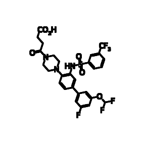 O=C(O)CCC(=O)N1CCN(c2ccc(-c3cc(F)cc(OC(F)F)c3)cc2NS(=O)(=O)c2cccc(C(F)(F)F)c2)CC1